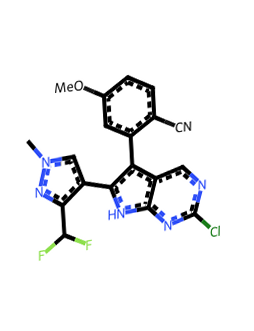 COc1ccc(C#N)c(-c2c(-c3cn(C)nc3C(F)F)[nH]c3nc(Cl)ncc23)c1